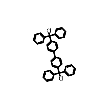 ClC(c1ccccc1)(c1ccccc1)c1ccc(-c2ccc(C(Cl)(c3ccccc3)c3ccccc3)cc2)cc1